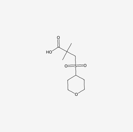 CC(C)(CS(=O)(=O)C1CCOCC1)C(=O)O